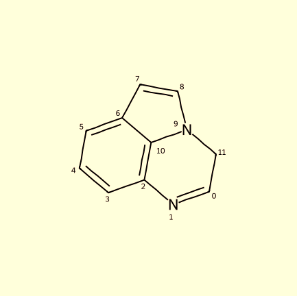 C1=Nc2cccc3ccn(c23)C1